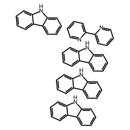 c1ccc(-c2ccccn2)nc1.c1ccc2c(c1)[nH]c1ccccc12.c1ccc2c(c1)[nH]c1ccccc12.c1ccc2c(c1)[nH]c1ccccc12.c1ccc2c(c1)[nH]c1ccccc12